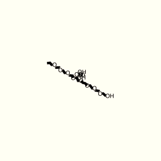 CCCOCCOCCOCCOCCOCCOCCOCCOCCO.O=S(=O)(O)O